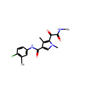 Cc1c(C(=O)Nc2ccc(F)c(C#N)c2)cn(C)c1C(=O)C(=O)NC(C)(C)C